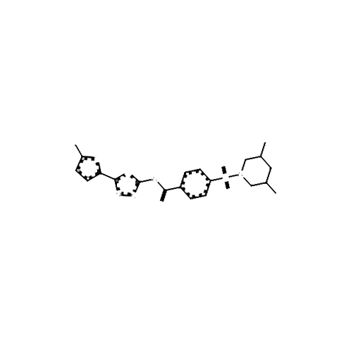 CC1CC(C)CN(S(=O)(=O)c2ccc(C(=O)Nc3nnc(-c4ccc(Cl)s4)o3)cc2)C1